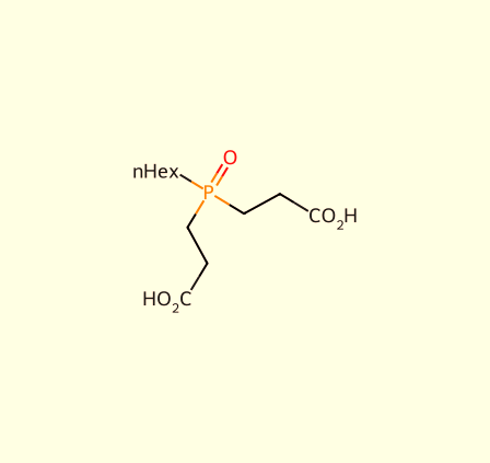 CCCCCCP(=O)(CCC(=O)O)CCC(=O)O